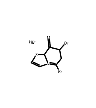 Br.O=C1C(Br)CC(Br)=[N+]2C=CSC12